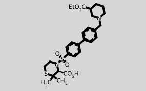 CCOC(=O)C1CCCN(Cc2ccc(-c3ccc(S(=O)(=O)N4CCSC(C)(C)[C@@H]4C(=O)O)cc3)cc2)C1